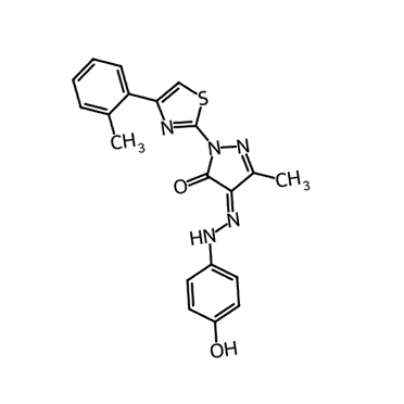 CC1=NN(c2nc(-c3ccccc3C)cs2)C(=O)C1=NNc1ccc(O)cc1